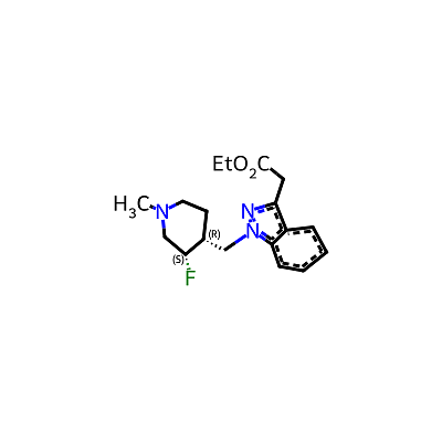 CCOC(=O)Cc1nn(C[C@H]2CCN(C)C[C@H]2F)c2ccccc12